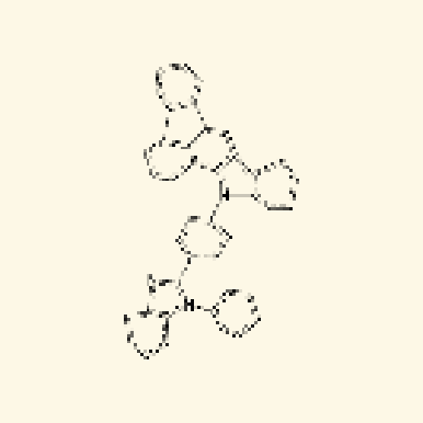 c1ccc(-n2c(-c3ccc(-n4c5ccccc5c5cc6c7c(cccc7c54)-c4ccccc4-6)cc3)nc3ccccc32)cc1